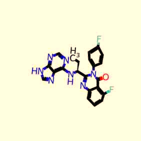 CC[C@H](Nc1ncnc2[nH]cnc12)c1nc2cccc(F)c2c(=O)n1-c1ccc(F)cc1